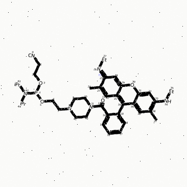 [C-]#[N+]CCOP(OCCN1CCN(C(=O)c2ccccc2-c2c3cc(C)/c(=N/CC)cc-3oc3cc(NCC)c(C)cc23)CC1)N(C(C)C)C(C)C